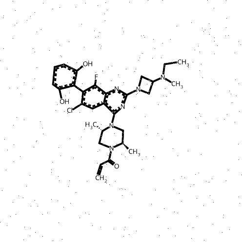 C=CC(=O)N1C[C@H](C)N(c2nc(N3CC(N(C)CC)C3)nc3c(F)c(-c4c(O)cccc4O)c(Cl)cc23)C[C@H]1C